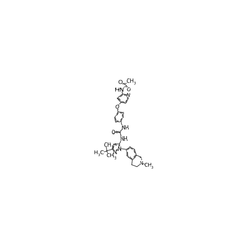 CN1CCc2cc(-n3nc(C(C)(C)C)cc3NC(=O)Nc3ccc(Oc4ccnc(NS(C)(=O)=O)c4)cc3)ccc2C1